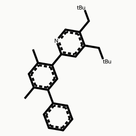 Cc1cc(C)c(-c2cc(CC(C)(C)C)c(CC(C)(C)C)cn2)cc1-c1ccccc1